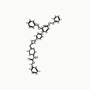 O=C(NC1CCN(CC2CN(c3ccc(-c4ccc(OCc5ccccc5)nc4OCc4ccccc4)cc3)C2)CC1)OCc1ccccc1